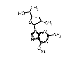 CCOc1nc(N)nc2c1ncn2C1O[C@H]([C@H](C)O)C[C@@H]1C